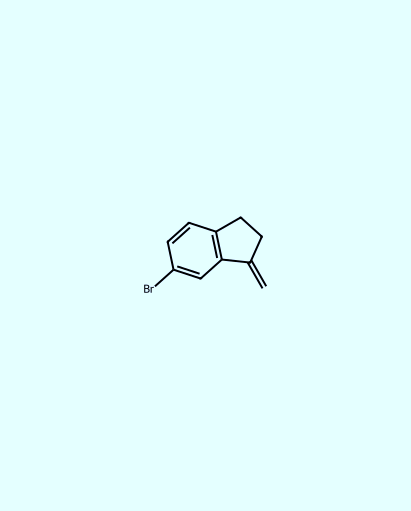 C=C1CCc2ccc(Br)cc21